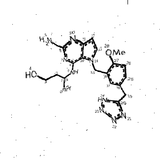 CCC[C@@H](CCO)Nc1nc(N)nc2ccn(Cc3cc(Cc4nnn[nH]4)ccc3OC)c12